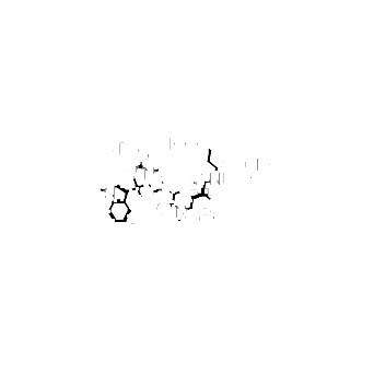 CCOC(=O)[C@@H](CCC(=O)O)NC(=O)/C(C)=C/[C@H](C(C)C)N(C)C(=O)C(NC(=O)[C@@H](N(C)C(=O)OC(C)(C)C)C(C)(C)c1cn(C)c2ccc(F)cc12)C(C)(C)C